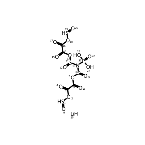 O=[SH]OC(=O)C(=O)OS(=O)N(S(=O)OC(=O)C(=O)O[SH]=O)P(=O)(O)O.[LiH]